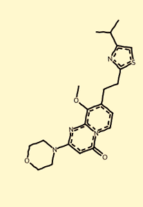 COc1c(CCc2nc(C(C)C)cs2)ccn2c(=O)cc(N3CCOCC3)nc12